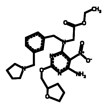 CCOC(=O)CN(Cc1cccc(CN2CCCC2)c1)c1nc(OCC2CCCO2)nc(N)c1[N+](=O)[O-]